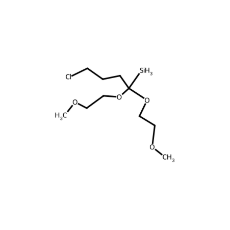 COCCOC([SiH3])(CCCCl)OCCOC